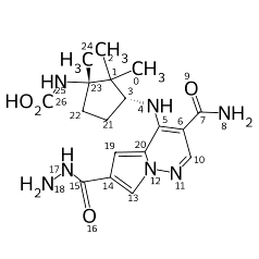 CC1(C)[C@H](Nc2c(C(N)=O)cnn3cc(C(=O)NN)cc23)CC[C@]1(C)NC(=O)O